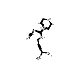 CC(C)C#CCN/C(=N\C#N)N1CCOCC1